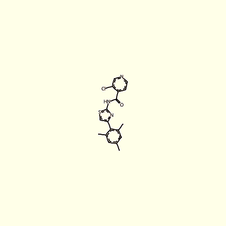 Cc1cc(C)c(-c2csc(NC(=O)c3ccncc3Cl)n2)c(C)c1